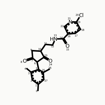 Cc1cc(C)c(C2C(=O)CC(CCNC(=O)c3ccc(Cl)nc3)C2=O)c(C)c1